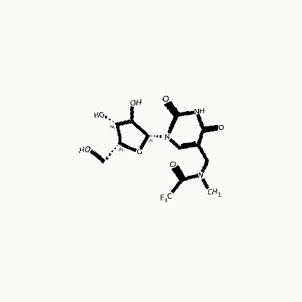 CN(Cc1cn([C@@H]2O[C@H](CO)[C@H](O)C2O)c(=O)[nH]c1=O)C(=O)C(F)(F)F